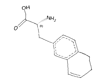 N[C@H](Cc1ccc2c(c1)C=CCC2)C(=O)O